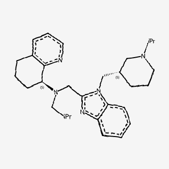 CC(C)CN(Cc1nc2ccccc2n1C[C@H]1CCCN(C(C)C)C1)[C@H]1CCCc2cccnc21